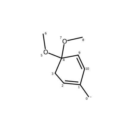 [CH2]C1=CCC(OC)(OC)C=C1